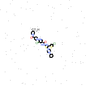 O=C(Nc1nc(-c2cc(Cl)cs2)c(N2CCN(C3CCCCC3)CC2)s1)c1cnc(N2CCC(C(=O)N3CCC(C(=O)O)CC3)CC2)c(Cl)c1